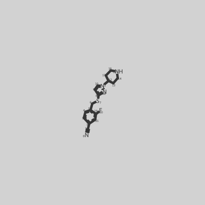 N#Cc1ccc(CSc2ccn(C3CCNCC3)n2)c(F)c1